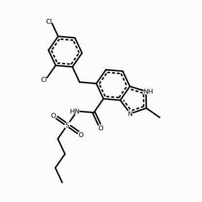 CCCCS(=O)(=O)NC(=O)c1c(Cc2ccc(Cl)cc2Cl)ccc2[nH]c(C)nc12